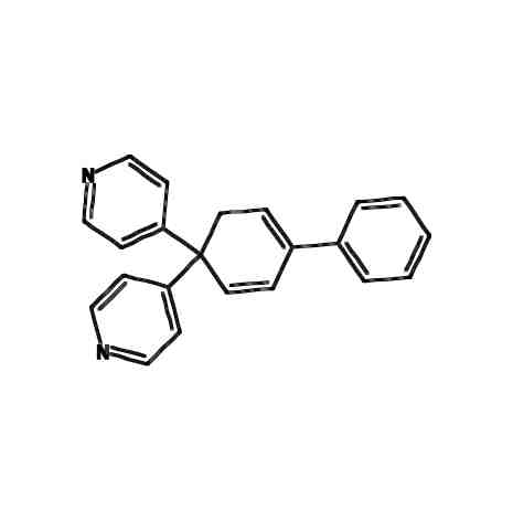 C1=CC(c2ccncc2)(c2ccncc2)CC=C1c1ccccc1